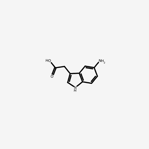 Nc1ccc2[nH]cc(CC(=O)O)c2c1